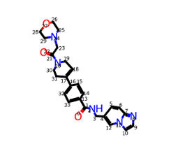 O=C(NCc1ccc2nccn2c1)c1ccc(C2=CCN(C(=O)CN3CCOCC3)CC2)cc1